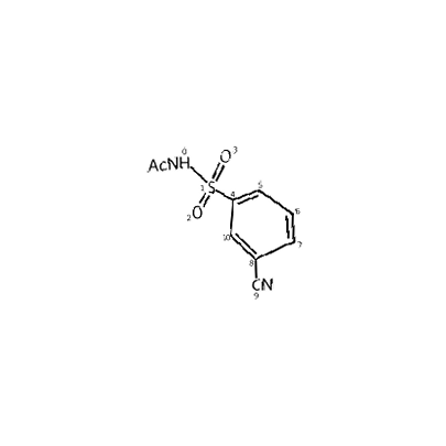 CC(=O)NS(=O)(=O)c1cccc(C#N)c1